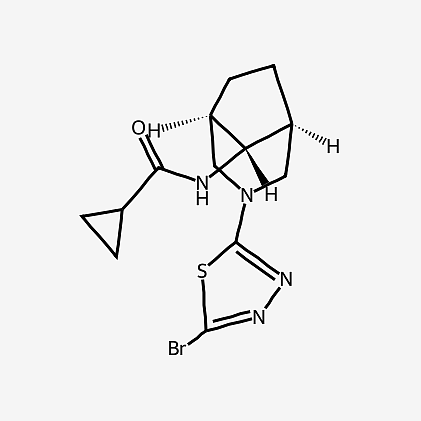 O=C(N[C@@H]1[C@@H]2CC[C@H]1CN(c1nnc(Br)s1)C2)C1CC1